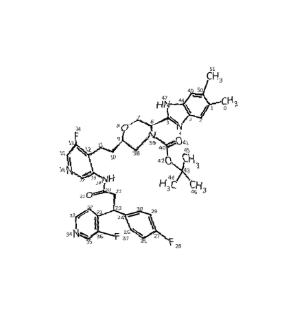 Cc1cc2nc([C@@H]3CO[C@H](CCc4c(F)cncc4NC(=O)C[C@@H](c4ccc(F)cc4)c4ccncc4F)CN3C(=O)OC(C)(C)C)[nH]c2cc1C